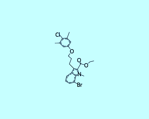 CCOC(=O)c1c(CCCOc2cc(C)c(Cl)c(C)c2)c2cccc(Br)c2n1C